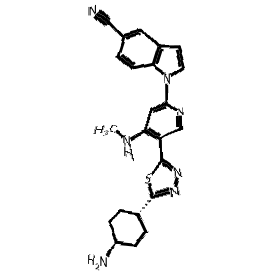 CNc1cc(-n2ccc3cc(C#N)ccc32)ncc1-c1nnc([C@H]2CC[C@H](N)CC2)s1